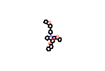 c1ccc(N(c2ccc(-c3ccc4oc5ccccc5c4c3)cc2)c2ccc3c(c2)oc2ccccc23)c(-c2cccc3c2oc2c4ccccc4ccc32)c1